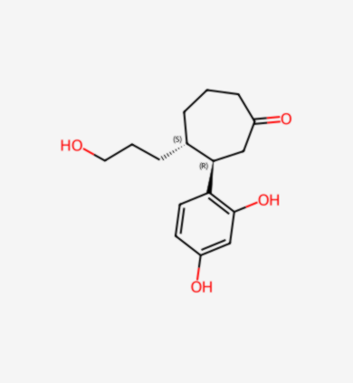 O=C1CCC[C@@H](CCCO)[C@H](c2ccc(O)cc2O)C1